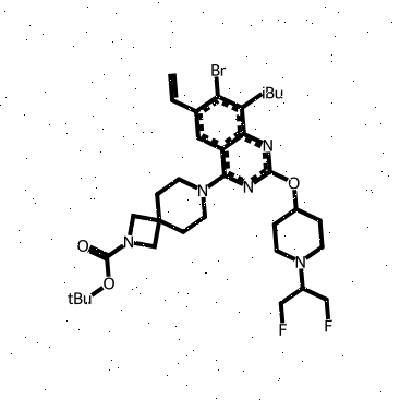 C=Cc1cc2c(N3CCC4(CC3)CN(C(=O)OC(C)(C)C)C4)nc(OC3CCN(C(CF)CF)CC3)nc2c(C(C)CC)c1Br